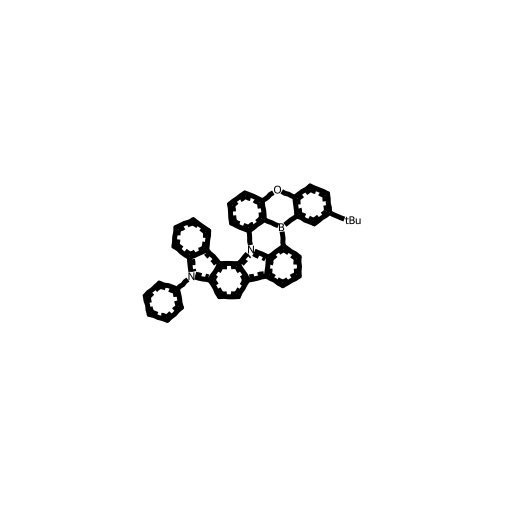 CC(C)(C)c1ccc2c(c1)B1c3c(cccc3-n3c4c1cccc4c1ccc4c(c5ccccc5n4-c4ccccc4)c13)O2